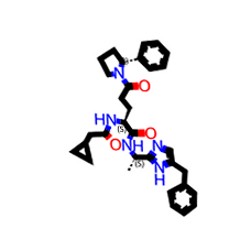 C[C@H](NC(=O)[C@H](CCC(=O)N1CCC[C@@H]1c1ccccc1)NC(=O)CC1CC1)c1ncc(Cc2ccccc2)[nH]1